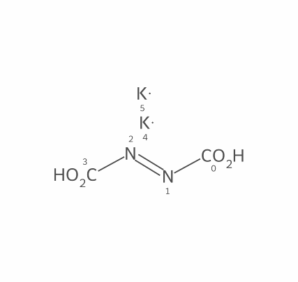 O=C(O)N=NC(=O)O.[K].[K]